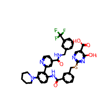 O=C(NCc1cccc(C(F)(F)F)c1)c1ccnc(-c2cc(N3CCCCC3)ccc2NC(=O)c2cccc(CSc3ncc(C(=O)O)c(O)n3)c2)c1